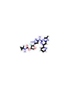 Cc1cn2c(Nc3cc([C@H]4OC[C@@H](OC(=O)NC5(C)CC5)[C@H]4F)[nH]n3)nc(-c3ccccn3)cc2n1